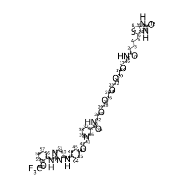 O=C(CCCCC1SCC2NC(=O)NC21)NCCOCCOCCOCCOCCOCCNC(=O)C1CCCN(CCOc2ccc(Nc3ccnc(Nc4ccccc4OC(F)(F)F)n3)cc2)C1